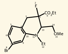 CCOC(=O)C1(F)Cc2ccc(Br)cc2N(CC)C1COC